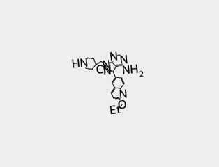 CCOc1ccc2cc(-c3nn(CC4(C#N)CCNCC4)c4ncnc(N)c34)ccc2n1